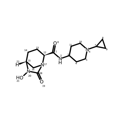 O=C(NC1CCN(C2CC2)CC1)[C@@H]1CC[C@@H]2CN1C(=O)N2O